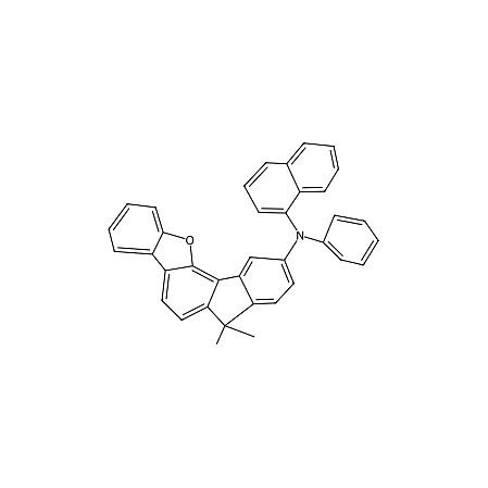 CC1(C)c2ccc(N(c3ccccc3)c3cccc4ccccc34)cc2-c2c1ccc1c2oc2ccccc21